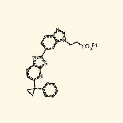 CCOC(=O)CCn1cnc2ccc(-c3nc4ccc(C5(c6ccccc6)CC5)nc4s3)cc21